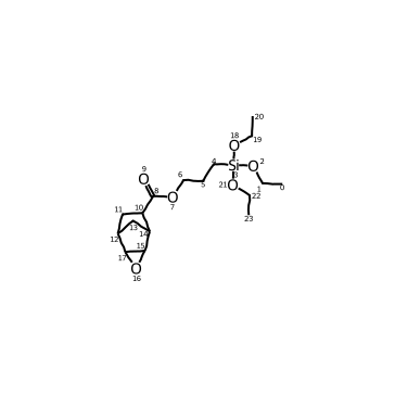 CCO[Si](CCCOC(=O)C1CC2CC1C1OC21)(OCC)OCC